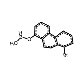 OBOc1cccc2c1ccc1c(Br)cccc12